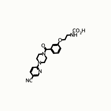 N#Cc1ccc(N2CCN(C(=O)c3cccc(OCCNC(=O)O)c3)CC2)nc1